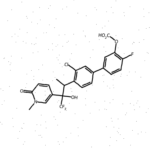 CC(c1ccc(-c2ccc(F)c(OC(=O)O)c2)cc1Cl)C(O)(c1ccc(=O)n(C)c1)C(F)(F)F